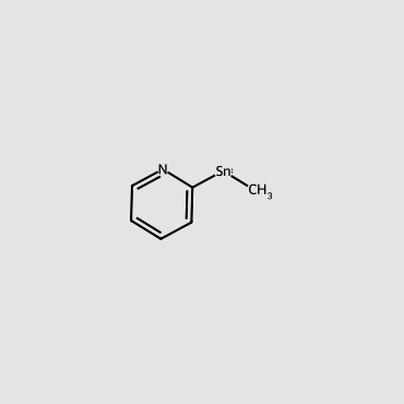 [CH3][Sn][c]1ccccn1